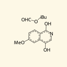 CCC(C)OC=O.COc1ccc2c(O)ncc(O)c2c1